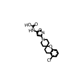 O=C(O)Nc1cc(N2CCC3(CCc4c(Cl)cccc4O3)CC2)no1